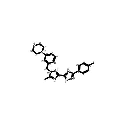 Cc1ccc(-c2noc(-c3nc(C)n(Cc4cccc(N5CCOCC5)c4)n3)n2)cc1